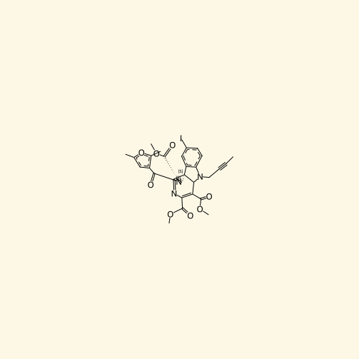 CC#CCN1c2ccc(I)cc2[C@]23C[C@@H](C(=O)OC)N(C(=O)c4cc(C)oc4C)C2=NC(C(=O)OC)=C(C(=O)OC)C13